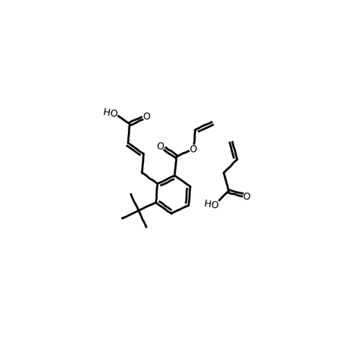 C=CCC(=O)O.C=COC(=O)c1cccc(C(C)(C)C)c1C/C=C/C(=O)O